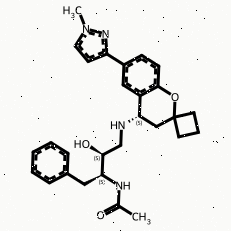 CC(=O)N[C@@H](Cc1ccccc1)[C@@H](O)CN[C@H]1CC2(CCC2)Oc2ccc(-c3ccn(C)n3)cc21